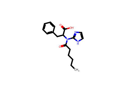 CCCCCC(=O)N(c1ncc[nH]1)C(Cc1ccccc1)C(=O)O